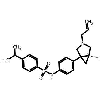 C=CCN1C[C@H]2CC2(c2ccc(NS(=O)(=O)c3ccc(C(C)C)cc3)cc2)C1